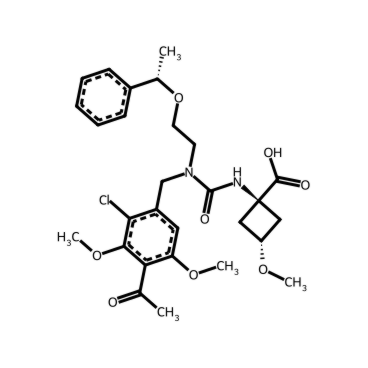 COc1cc(CN(CCO[C@@H](C)c2ccccc2)C(=O)N[C@]2(C(=O)O)C[C@@H](OC)C2)c(Cl)c(OC)c1C(C)=O